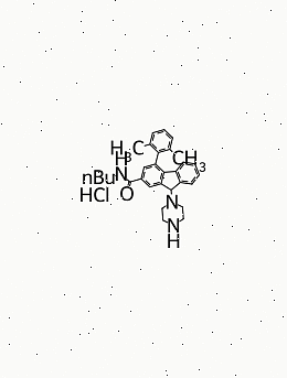 CCCCNC(=O)c1cc(-c2c(C)cccc2C)c2c(c1)C(N1CCNCC1)c1ccccc1-2.Cl